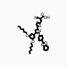 CCCCCCOc1cc(OCCCCCC)cc(C2CC(c3ccc(/C=C(\C#N)C(=O)O)s3)=NN2c2ccc(-c3nc4ccccc4o3)cc2)c1